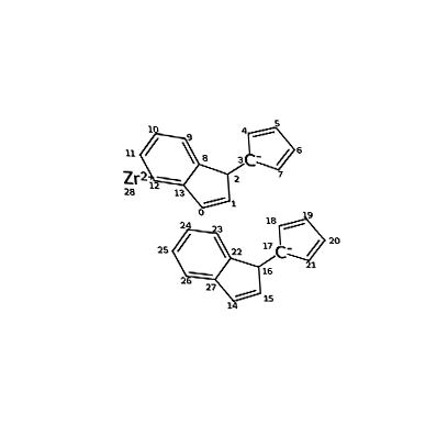 C1=CC([c-]2cccc2)c2ccccc21.C1=CC([c-]2cccc2)c2ccccc21.[Zr+2]